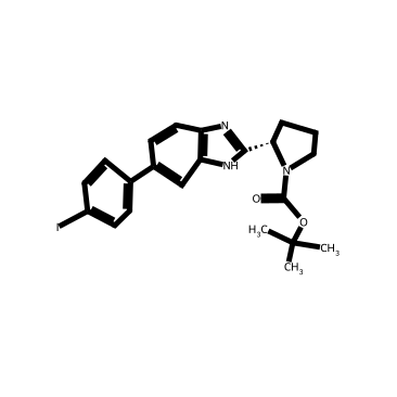 CC(C)(C)OC(=O)N1CCC[C@H]1c1nc2ccc(-c3ccc(I)cc3)cc2[nH]1